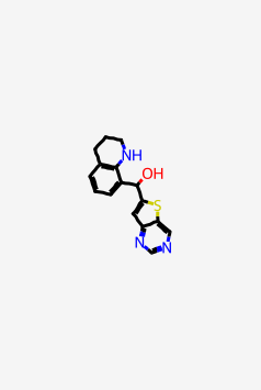 OC(c1cc2ncncc2s1)c1cccc2c1NCCC2